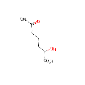 O=NC(=O)CCCC(O)C(=O)O